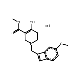 COC(=O)C1=C(O)CCN(CC2=Cc3ccc(OC)cc32)C1.Cl